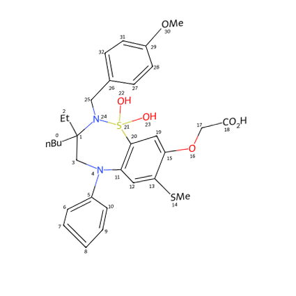 CCCCC1(CC)CN(c2ccccc2)c2cc(SC)c(OCC(=O)O)cc2S(O)(O)N1Cc1ccc(OC)cc1